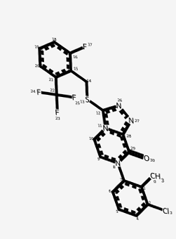 Cc1c(Cl)cccc1-n1ccn2c(SCc3c(F)cccc3C(F)(F)F)nnc2c1=O